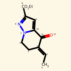 CC=C1CCn2nc(C(=O)OCC)cc2C1=O